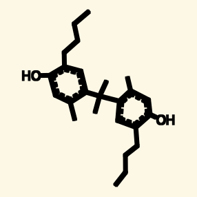 CCCCc1cc(C(C)(C)c2cc(CCCC)c(O)cc2C)c(C)cc1O